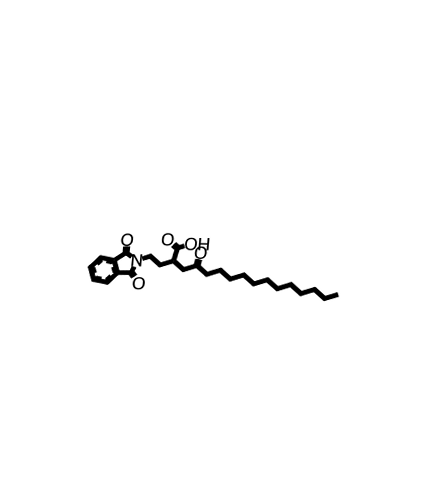 CCCCCCCCCCCCC(=O)CC(CCN1C(=O)c2ccccc2C1=O)C(=O)O